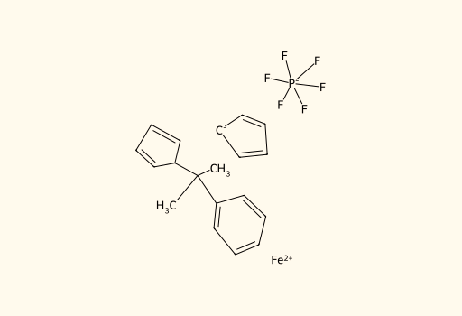 CC(C)(c1ccccc1)C1C=CC=C1.F[P-](F)(F)(F)(F)F.[Fe+2].c1cc[cH-]c1